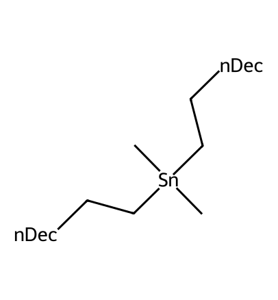 CCCCCCCCCCC[CH2][Sn]([CH3])([CH3])[CH2]CCCCCCCCCCC